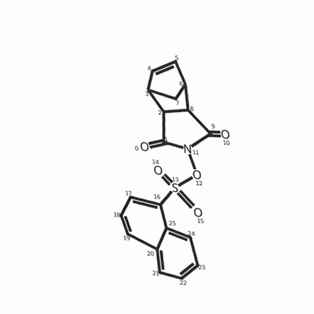 O=C1C2C3C=CC(C3)C2C(=O)N1OS(=O)(=O)c1cccc2ccccc12